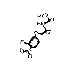 C[C@@H](COc1ccc([N+](=O)[O-])c(F)c1)NC(=O)O